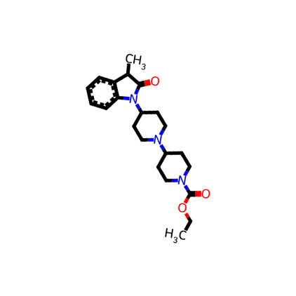 CCOC(=O)N1CCC(N2CCC(N3C(=O)C(C)c4ccccc43)CC2)CC1